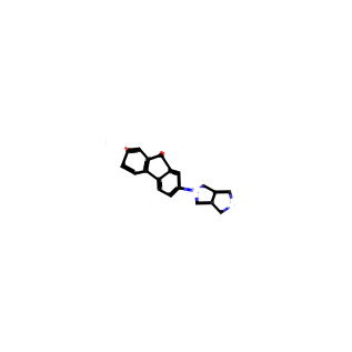 Cl.O=C1c2cc(O)ccc2-c2ccc(N3CC4CNCC4C3)cc21